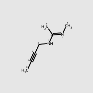 CC#CCN/C(N)=N/C